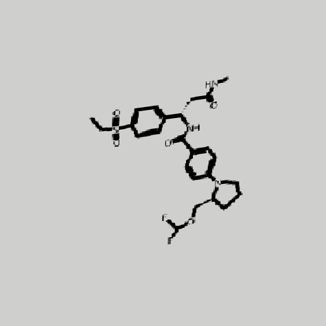 CCS(=O)(=O)c1ccc([C@H](CC(=O)NC)NC(=O)c2ccc(N3CCC[C@H]3COC(F)F)cc2)cc1